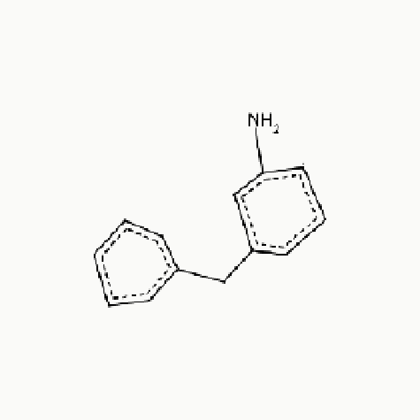 Nc1[c]ccc(Cc2ccccc2)c1